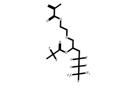 C=C(C)C(=O)OCCOCC(CC(F)(F)C(F)(F)C(F)(C(F)(F)F)C(F)(F)F)OC(=O)C(C)(F)F